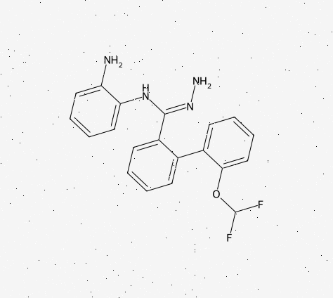 N/N=C(\Nc1ccccc1N)c1ccccc1-c1ccccc1OC(F)F